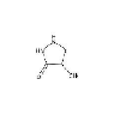 [CH]C1CNNC1=O